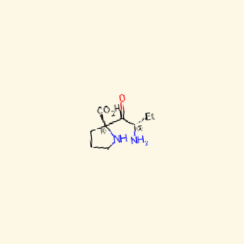 CC[C@H](N)C(=O)[C@@]1(C(=O)O)CCCN1